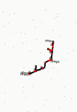 CCCCCC/C=C\COC(=O)CCCCCCCN(CCCCCCCC(=O)OC(CCCCCCC)CCCCCCCC(C)CCCC/C=C\COC(=O)CCCCCCCN(CCCCCCCC(=O)OC(CCCCC)CCCCC)C(=O)SCCN(C)C)C(=O)SCCN(C)C